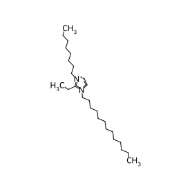 CCCCCCCCCCCCCn1cc[n+](CCCCCCCC)c1CC